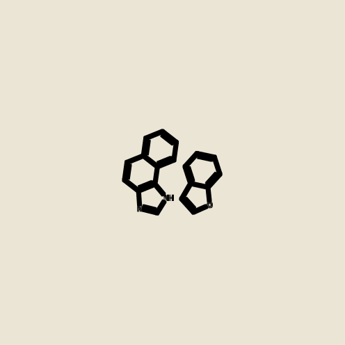 c1ccc2c(c1)ccc1nc[nH]c12.c1ccc2occc2c1